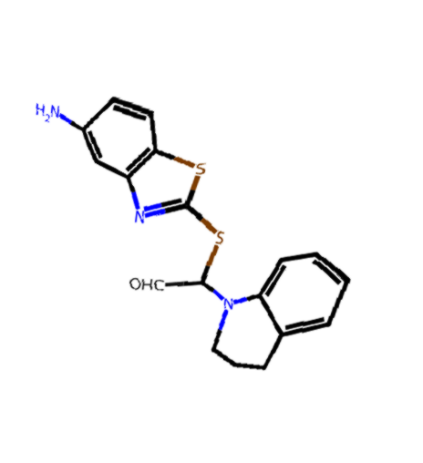 Nc1ccc2sc(SC(C=O)N3CCCc4ccccc43)nc2c1